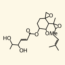 COC1C(OC(=O)/C=C/C(O)C(C)O)CCC2(CO2)C1C1(C)OC1CC=C(C)C